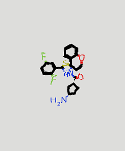 N[C@H]1CC[C@@H](C(=O)N2N=C(C3=CC(F)CC=C3F)SC23CCOc2ccccc23)C1